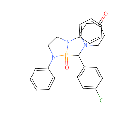 O=C1CCN(C(c2ccc(Cl)cc2)P2(=O)N(c3ccccc3)CCN2c2ccccc2)CC1